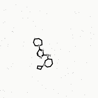 c1cc(N2CCCCCC2)nc(NC2CCCCN(C3CCC3)C2)n1